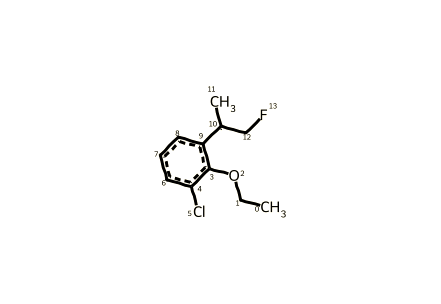 CCOc1c(Cl)cccc1[C](C)CF